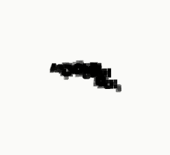 CC(=O)N1CCCN(c2ccc(NC(=O)c3nnc(Nc4cccc(C)c4)o3)cc2)CC1